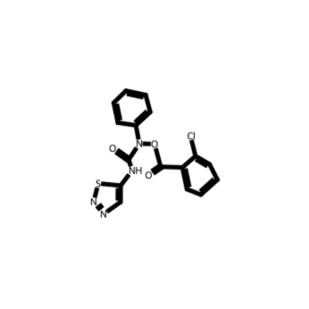 O=C(ON(C(=O)Nc1cnns1)c1ccccc1)c1ccccc1Cl